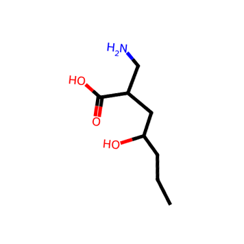 CCCC(O)CC(CN)C(=O)O